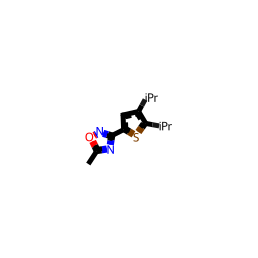 Cc1nc(-c2cc(C(C)C)c(C(C)C)s2)no1